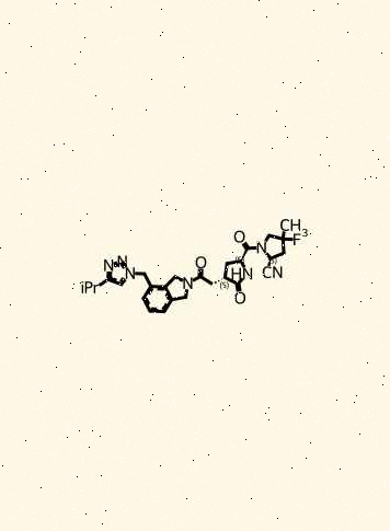 CC(C)c1cn(Cc2cccc3c2CN(C(=O)C[C@@H]2C[C@@H](C(=O)N4CC(C)(F)C[C@H]4C#N)NC2=O)C3)nn1